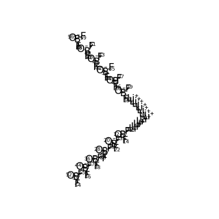 [Li+].[Li+].[Li+].[Li+].[Li+].[Li+].[Li+].[Li+].[Li+].[Li+].[Li+].[Li+].[O-]B(F)F.[O-]B(F)F.[O-]B(F)F.[O-]B(F)F.[O-]B(F)F.[O-]B(F)F.[O-]B(F)F.[O-]B(F)F.[O-]B(F)F.[O-]B(F)F.[O-]B(F)F.[O-]B(F)F